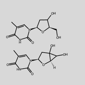 Cc1cn([C@H]2CC(O)[C@@H](CO)O2)c(=O)[nH]c1=O.Cc1cn([C@H]2CC3(O)C(O)[C@H]3O2)c(=O)[nH]c1=O